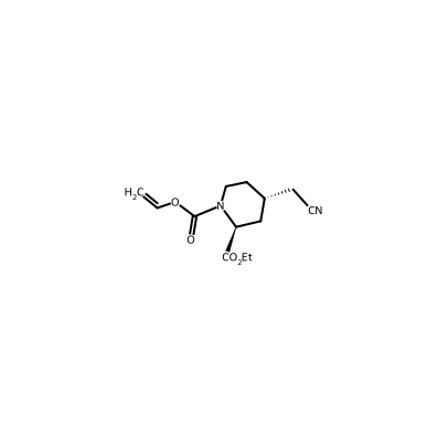 C=COC(=O)N1CC[C@H](CC#N)C[C@H]1C(=O)OCC